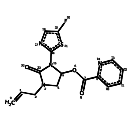 C=CCN1CC(OC(=O)c2ccccn2)N(c2ncc(F)s2)C1=O